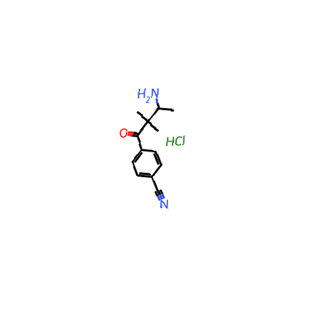 CC(N)C(C)(C)C(=O)c1ccc(C#N)cc1.Cl